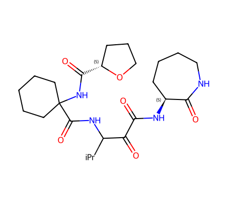 CC(C)C(NC(=O)C1(NC(=O)[C@@H]2CCCO2)CCCCC1)C(=O)C(=O)N[C@H]1CCCCNC1=O